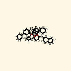 c1ccc(-c2ccc3c(c2)C2(c4ccccc4O3)c3ccccc3-c3ccc(N(c4ccc5ccccc5c4)c4ccccc4-c4ccccc4)cc32)cc1